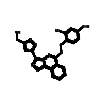 N#Cc1cc(C=O)ccc1COc1nn2c(-c3cc(CO)on3)nnc2c2ccccc12